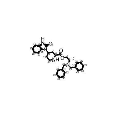 C[C@@H](COC(=O)C1CC(n2c(=O)[nH]c3ccccc32)CCN1)N(Cc1ccccc1)Cc1ccccc1